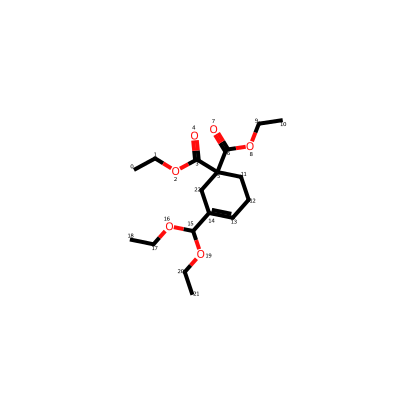 CCOC(=O)C1(C(=O)OCC)CCC=C(C(OCC)OCC)C1